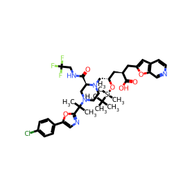 CC(C)(c1ncc(-c2ccc(Cl)cc2)o1)N1CCN(C[C@H](C[C@@H](Cc2cc3ccncc3o2)C(=O)O)O[Si](C)(C)C(C)(C)C)[C@H](C(=O)NCC(F)(F)F)C1